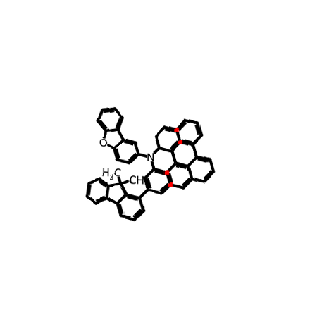 CC1(C)c2ccccc2-c2cccc(-c3cccc(N(c4ccc5oc6ccccc6c5c4)C4CC=CC=C4c4cccc5cccc(-c6ccccc6)c45)c3)c21